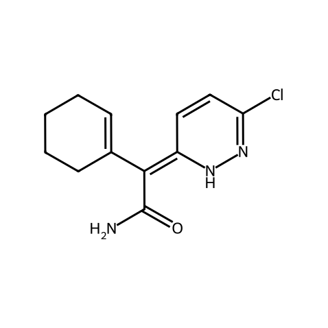 NC(=O)/C(C1=CCCCC1)=C1/C=CC(Cl)=NN1